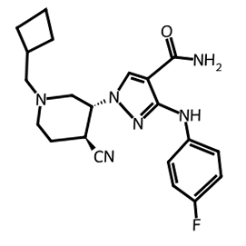 N#C[C@H]1CCN(CC2CCC2)C[C@@H]1n1cc(C(N)=O)c(Nc2ccc(F)cc2)n1